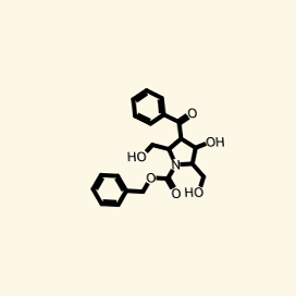 O=C(c1ccccc1)C1C(O)C(CO)N(C(=O)OCc2ccccc2)C1CO